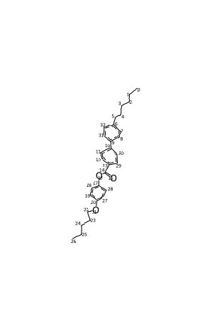 CCCCCCc1ccc(-c2ccc(C(=O)Oc3ccc(OCCCCC)cc3)cc2)cc1